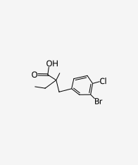 CCC(C)(Cc1ccc(Cl)c(Br)c1)C(=O)O